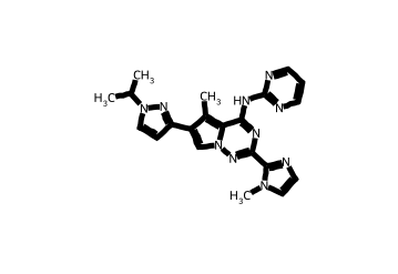 Cc1c(-c2ccn(C(C)C)n2)cn2nc(-c3nccn3C)nc(Nc3ncccn3)c12